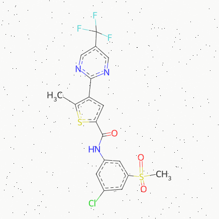 Cc1sc(C(=O)Nc2cc(Cl)cc(S(C)(=O)=O)c2)cc1-c1ncc(C(F)(F)F)cn1